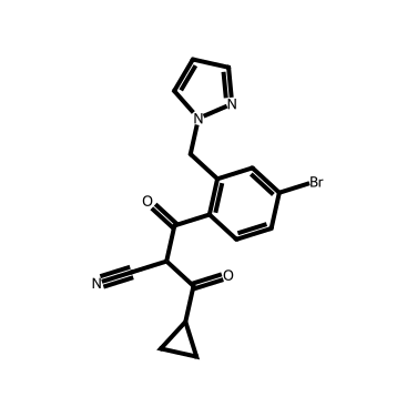 N#CC(C(=O)c1ccc(Br)cc1Cn1cccn1)C(=O)C1CC1